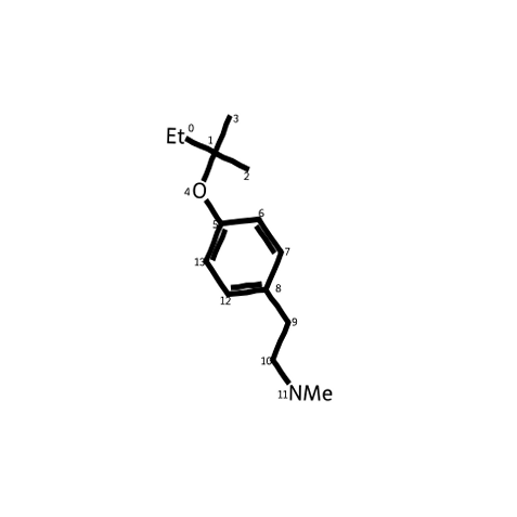 CCC(C)(C)Oc1ccc(CCNC)cc1